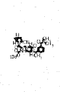 C[C@@H](c1cccc(C(=O)N(C)C)c1)N1C(=O)[C@@H]2C[C@H]1CN2C[C@H](NC(=O)OC(C)(C)C)C(=O)N1[C@H](C#N)C[C@@H]2C[C@@H]21